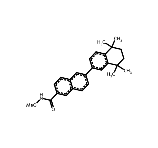 CONC(=O)c1ccc2cc(-c3ccc4c(c3)C(C)(C)CCC4(C)C)ccc2c1